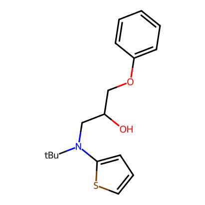 CC(C)(C)N(CC(O)COc1ccccc1)c1cccs1